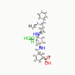 CC/C(=C\c1ccccc1)[C@@H]1C[C@H]1NC1CCC(NCc2cccc(C(=O)O)c2)CC1.Cl.Cl